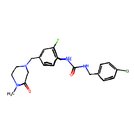 CN1CCN(Cc2ccc(NC(=O)NCc3ccc(Cl)cc3)c(F)c2)CC1=O